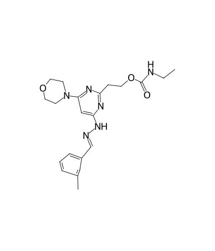 CCNC(=O)OCCc1nc(NN=Cc2cccc(C)c2)cc(N2CCOCC2)n1